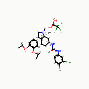 CC(C)Oc1ccc([C@@]23CC[C@@H](NC(=O)Nc4ccc(F)c(F)c4)C[C@@H]2N(C)CC3)cc1OC(C)C.O=C(O)C(F)(F)F